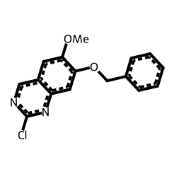 COc1cc2cnc(Cl)nc2cc1OCc1ccccc1